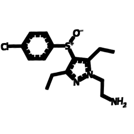 CCc1nn(CCN)c(CC)c1[S+]([O-])c1ccc(Cl)cc1